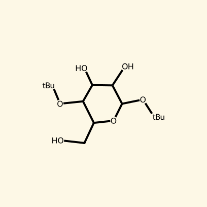 CC(C)(C)OC1OC(CO)C(OC(C)(C)C)C(O)C1O